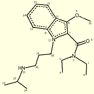 CCN(CC)C(=O)c1c(OC)c2ccccc2n1CCCNC(C)C